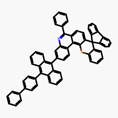 c1ccc(-c2ccc(-c3c4ccccc4c(-c4ccc5c(c4)nc(-c4ccccc4)c4ccc6c(c45)Sc4ccccc4C64c5ccccc5-c5ccccc54)c4ccccc34)cc2)cc1